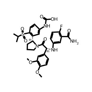 COc1ccc([C@@H](Nc2ccc(F)c(C(N)=O)c2)C(=O)N2CCC[C@@H]2c2cc(NC(=O)O)ccc2S(=O)(=O)C(C)C)cc1OC